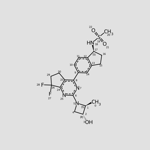 C[C@H]1[C@H](O)CN1c1nc(-c2ccc3c(c2)CC[C@@H]3NS(C)(=O)=O)c2c(n1)C(F)(F)CC2